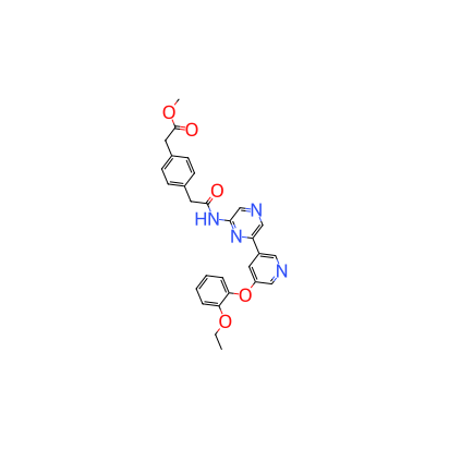 CCOc1ccccc1Oc1cncc(-c2cncc(NC(=O)Cc3ccc(CC(=O)OC)cc3)n2)c1